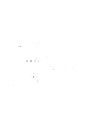 CCCCC(=O)OCC(COC(=O)CCC)(COC(=O)CCC)COC(=O)CCC